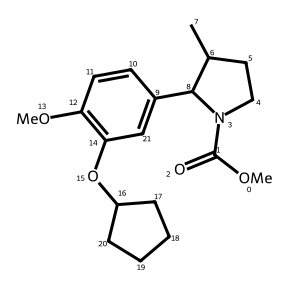 COC(=O)N1CCC(C)C1c1ccc(OC)c(OC2CCCC2)c1